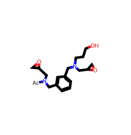 CC(=O)N(Cc1cccc(CN(CCCO)CC2CO2)c1)CC1CO1